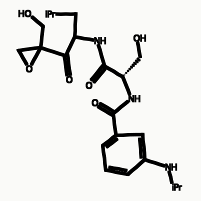 CC(C)CC(NC(=O)[C@H](CO)NC(=O)c1cccc(NC(C)C)c1)C(=O)C1(CO)CO1